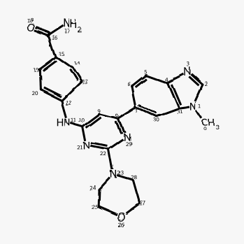 Cn1cnc2ccc(-c3cc(Nc4ccc(C(N)=O)cc4)nc(N4CCOCC4)n3)cc21